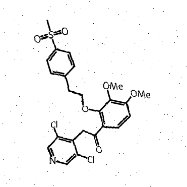 COc1ccc(C(=O)Cc2c(Cl)cncc2Cl)c(OCCc2ccc(S(C)(=O)=O)cc2)c1OC